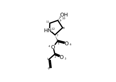 C=CC(=O)OC(=O)[C@H]1C[C@@H](O)CN1